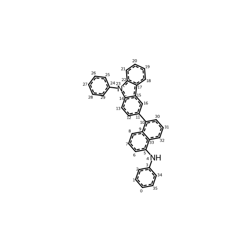 c1ccc(Nc2cccc3c(-c4ccc5c(c4)c4ccccc4n5-c4ccccc4)cccc23)cc1